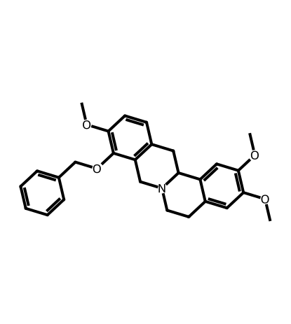 COc1cc2c(cc1OC)C1Cc3ccc(OC)c(OCc4ccccc4)c3CN1CC2